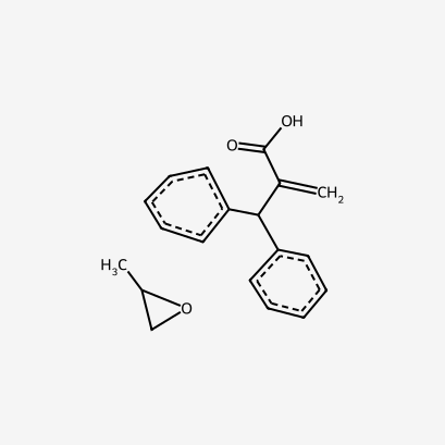 C=C(C(=O)O)C(c1ccccc1)c1ccccc1.CC1CO1